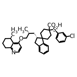 C[C@@H](COc1ccnc2c1[C@H](C)CCC2)C[C@H]1Cc2ccccc2C12CCC(Sc1cccc(Cl)c1)(C(=O)O)CC2